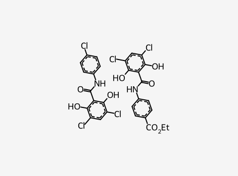 CCOC(=O)c1ccc(NC(=O)c2c(O)c(Cl)cc(Cl)c2O)cc1.O=C(Nc1ccc(Cl)cc1)c1c(O)c(Cl)cc(Cl)c1O